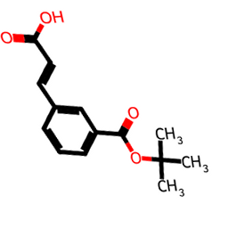 CC(C)(C)OC(=O)c1cccc(C=CC(=O)O)c1